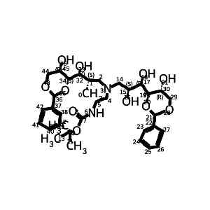 C[C@@H](CN(CCNC(=O)OC(C)(C)C)C[C@H](O)[C@@H](O)[C@@H]1OC(c2ccccc2)OC[C@H]1O)[C@@H](O)[C@@H]1OC(c2ccccc2)OC[C@H]1O